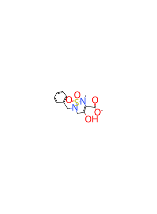 COC(=O)C1=C(O)CN(Cc2ccccc2)S(=O)(=O)N1C